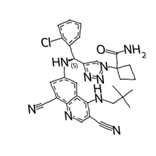 CC(C)(C)CNc1c(C#N)cnc2c(C#N)cc(N[C@H](c3cn(C4(C(N)=O)CCC4)nn3)c3ccccc3Cl)cc12